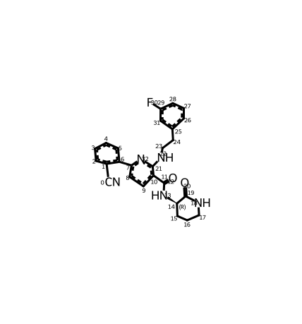 N#Cc1ccccc1-c1ccc(C(=O)N[C@@H]2CCCNC2=O)c(NCCc2cccc(F)c2)n1